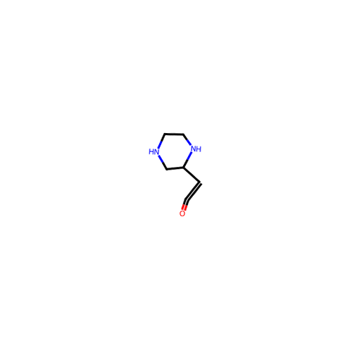 O=C=CC1CNCCN1